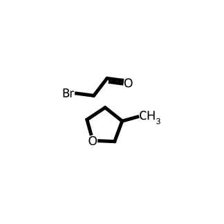 CC1CCOC1.O=CCBr